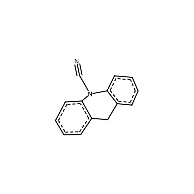 N#CN1c2ccccc2Cc2ccccc21